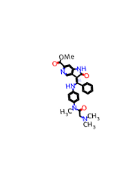 COC(=O)c1cc2c(cn1)/C(=C(\Nc1ccc(N(C)C(=O)CN(C)C)cc1)c1ccccc1)C(=O)N2